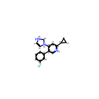 Fc1cccc(-c2cnc(C3CC3)cc2N2C=CNC2)c1